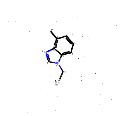 Cc1cccc2c1ncn2CC#N